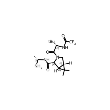 C[C@@H](N)NC(=O)[C@@H]1[C@@H]2[C@H](CN1C(=O)[C@@H](NC(=O)C(F)(F)F)C(C)(C)C)C2(C)C